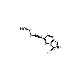 O=C1NCc2ccc(C#CCCO)cc21